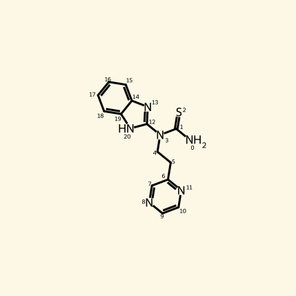 NC(=S)N(CCc1cnccn1)c1nc2ccccc2[nH]1